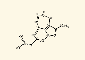 CC1OB2OC(C[N+](=O)[O-])C=C3C=COCC1=C23